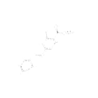 COC(=O)c1ccc(OCc2ccccc2)cc1C